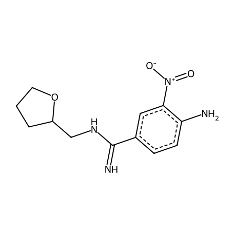 N=C(NCC1CCCO1)c1ccc(N)c([N+](=O)[O-])c1